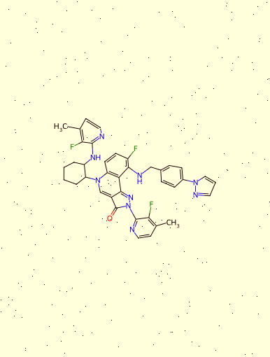 Cc1ccnc(NC2CCCCC2n2cc3c(=O)n(-c4nccc(C)c4F)nc-3c3c(NCc4ccc(-n5cccn5)cc4)c(F)ccc32)c1F